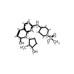 C[C@@H]1[C@H](O)CC[C@H]1N1c2nc(NC3CCN(S(C)(=O)=O)CC3)ncc2C=CC1O